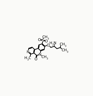 Cc1nccc2c1c(=O)n(C)c1cc(OC[C@@H](N)CC(C)C)c(S(C)(=O)=O)cc21